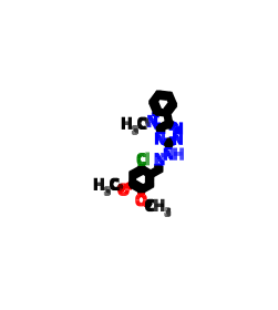 COc1cc(Cl)c(C=NNc2nnc3c4ccccc4n(C)c3n2)cc1OC